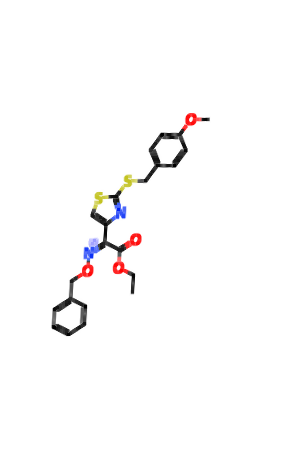 CCOC(=O)/C(=N\OCc1ccccc1)c1csc(SCc2ccc(OC)cc2)n1